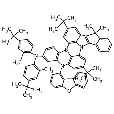 Cc1cc(C(C)(C)C)ccc1N(c1ccc2c(c1)N(c1cccc3oc4ccccc4c13)c1cc(C(C)(C)C)cc3c1B2c1cc(C(C)(C)C)cc2c4c(n-3c12)-c1ccccc1C4(C)C)c1ccc(C(C)(C)C)cc1C